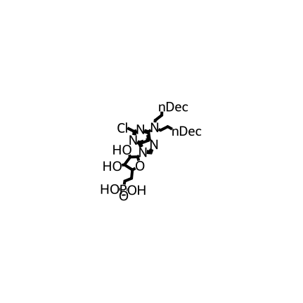 CCCCCCCCCCCCN(CCCCCCCCCCCC)c1nc(Cl)nc2c1ncn2C1OC(CCP(=O)(O)O)C(O)C1O